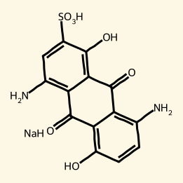 Nc1ccc(O)c2c1C(=O)c1c(O)c(S(=O)(=O)O)cc(N)c1C2=O.[NaH]